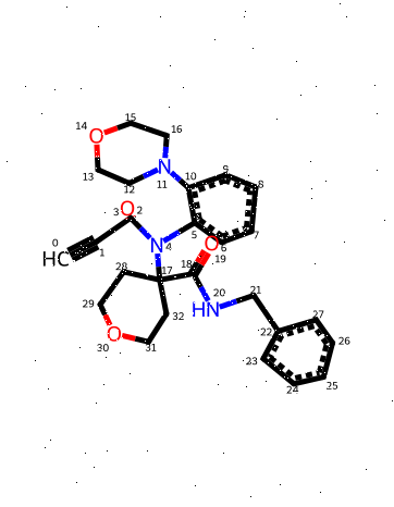 C#CC(=O)N(c1ccccc1N1CCOCC1)C1(C(=O)NCc2ccccc2)CCOCC1